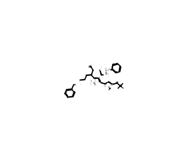 CC(C)(C)C(=O)c1cc(-c2onc(C(CCCOCc3ccccc3)CC(=O)O)c2[C@H]2COB(c3ccccc3)O2)no1